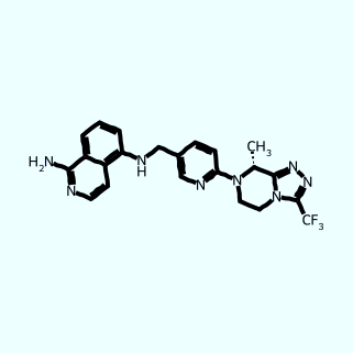 C[C@@H]1c2nnc(C(F)(F)F)n2CCN1c1ccc(CNc2cccc3c(N)nccc23)cn1